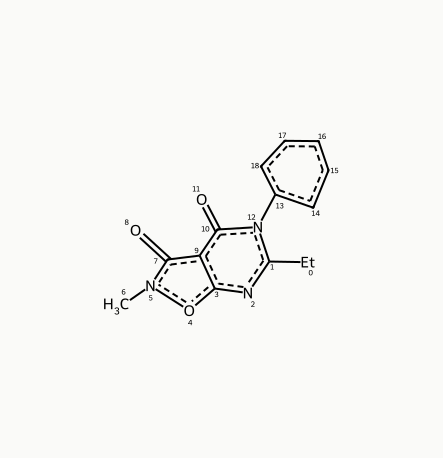 CCc1nc2on(C)c(=O)c2c(=O)n1-c1ccccc1